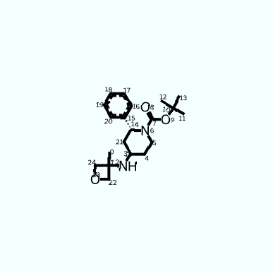 CC1(NC2CCN(C(=O)OC(C)(C)C)[C@@H](c3ccccc3)C2)COC1